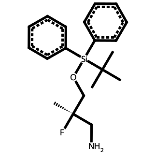 CC(C)(C)[Si](OC[C@](C)(F)CN)(c1ccccc1)c1ccccc1